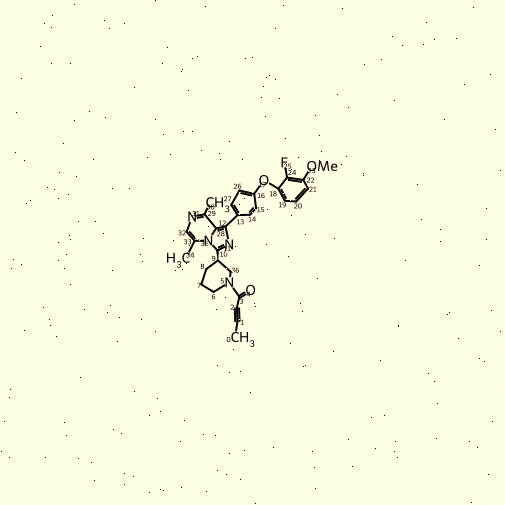 CC#CC(=O)N1CCC[C@@H](c2nc(-c3ccc(Oc4cccc(OC)c4F)cc3)c3c(C)ncc(C)n23)C1